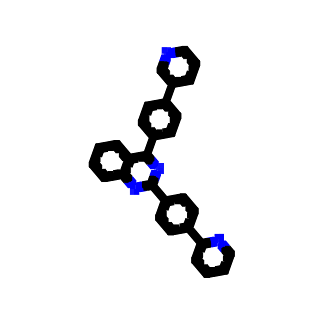 c1ccc(-c2ccc(-c3nc(-c4ccc(-c5cccnc5)cc4)c4ccccc4n3)cc2)nc1